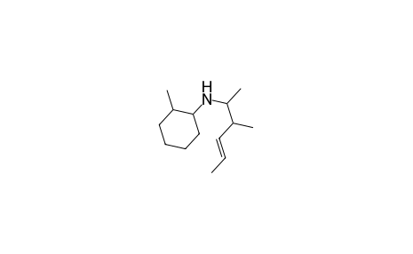 CC=CC(C)C(C)NC1CCCCC1C